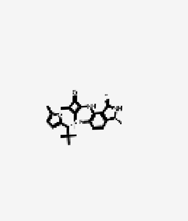 C=C1C(=O)C(Nc2c(F)ccc3c2C(=O)N[C@H]3C)=C1N[C@@H](c1ccc(C)o1)C(C)(C)C